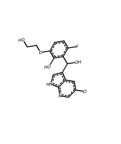 OCCOc1ccc(F)c(C(O)c2c[nH]c3ncc(Cl)cc23)c1O